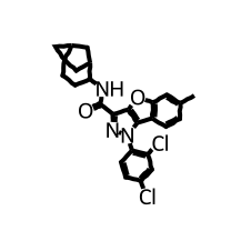 Cc1ccc2c(c1)oc1c(C(=O)NC3CCC45CC3CC4C5)nn(-c3ccc(Cl)cc3Cl)c12